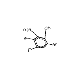 CC(=O)c1cc(F)c(F)c([N+](=O)[O-])c1O